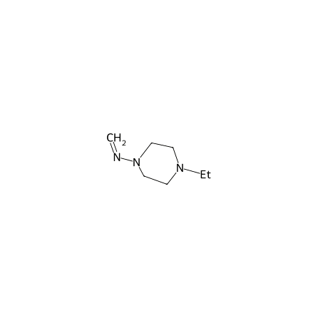 C=NN1CCN(CC)CC1